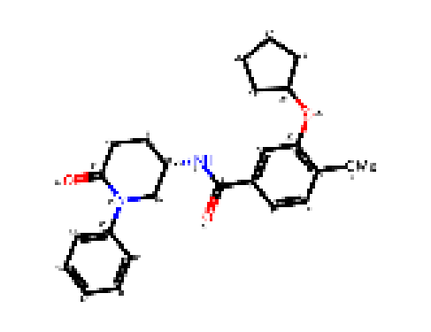 COc1ccc(C(=O)N[C@H]2CCC(=O)N(c3ccccc3)C2)cc1OC1CCCC1